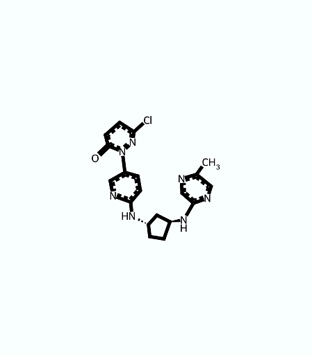 Cc1cnc(N[C@H]2CC[C@H](Nc3ccc(-n4nc(Cl)ccc4=O)cn3)C2)cn1